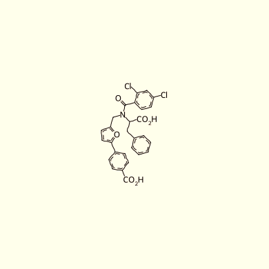 O=C(O)c1ccc(-c2ccc(CN(C(=O)c3ccc(Cl)cc3Cl)C(Cc3ccccc3)C(=O)O)o2)cc1